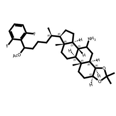 CC(=O)OC(CCC[C@@H](C)[C@H]1CC[C@H]2[C@@H]3C(N)C[C@H]4[C@H]5OC(C)(C)O[C@H]5CC[C@]4(C)[C@H]3CC[C@]12C)c1c(F)cccc1F